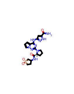 NC(=O)c1cc(Nc2nc(N3CCC[C@H]3C(=O)NC3CCS(=O)(=O)C3)nn3cccc23)n[nH]1